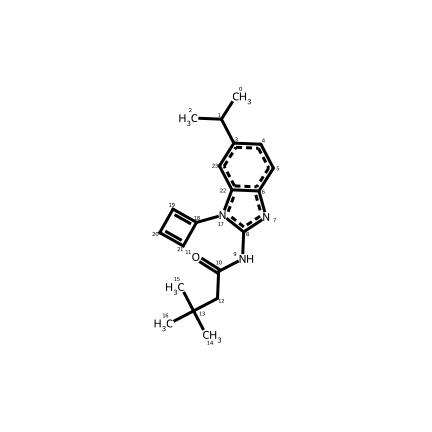 CC(C)c1ccc2nc(NC(=O)CC(C)(C)C)n(C3=CC=C3)c2c1